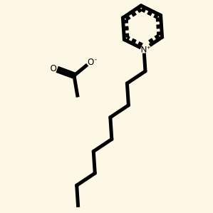 CC(=O)[O-].CCCCCCCCC[n+]1ccccc1